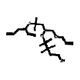 C=C/C=C(\C=C)OC(C)(C)CC(COCC=C)OC(C)(C)C(C)(C)CCO